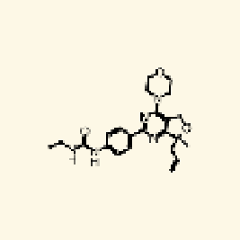 C=CC[C@@]1(C)OCc2c(N3CCOCC3)nc(-c3ccc(NC(=O)NCC)cc3)nc21